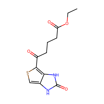 CCOC(=O)CCCC(=O)c1scc2[nH]c(=O)[nH]c12